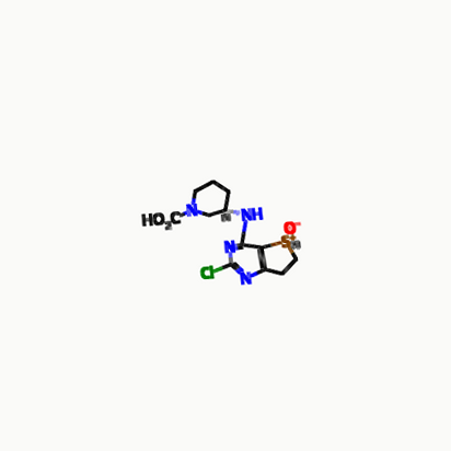 O=C(O)N1CCC[C@H](Nc2nc(Cl)nc3c2[S@+]([O-])CC3)C1